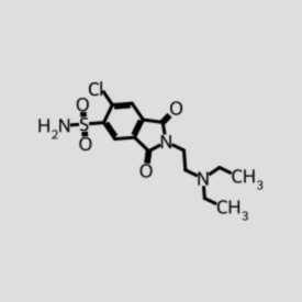 CCN(CC)CCN1C(=O)c2cc(Cl)c(S(N)(=O)=O)cc2C1=O